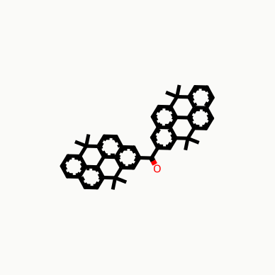 CC1(C)c2ccc3cc(C(=O)c4cc5c6c7c(ccc6c4)C(C)(C)c4cccc6ccc(c-7c46)C5(C)C)cc4c3c2-c2c(ccc3cccc1c23)C4(C)C